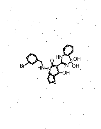 O=c1c(C2=NS(O)(O)c3ccccc3N2)c(O)c2sccc2n1NCc1cccc(Br)c1